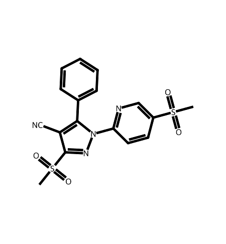 CS(=O)(=O)c1ccc(-n2nc(S(C)(=O)=O)c(C#N)c2-c2ccccc2)nc1